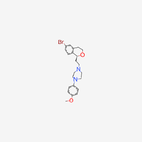 COc1ccc(N2CCN(CC[C@@H]3OCCc4cc(Br)ccc43)CC2)cc1